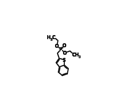 CCOP(=O)(Cc1cc2ccccc2s1)OCC